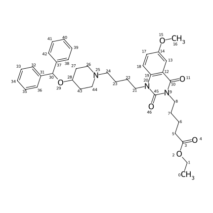 CCOC(=O)CCCCn1c(=O)c2cc(OC)ccc2n(CCCCN2CCC(OC(c3ccccc3)c3ccccc3)CC2)c1=O